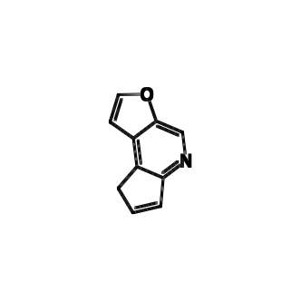 C1=Cc2ncc3occc3c2C1